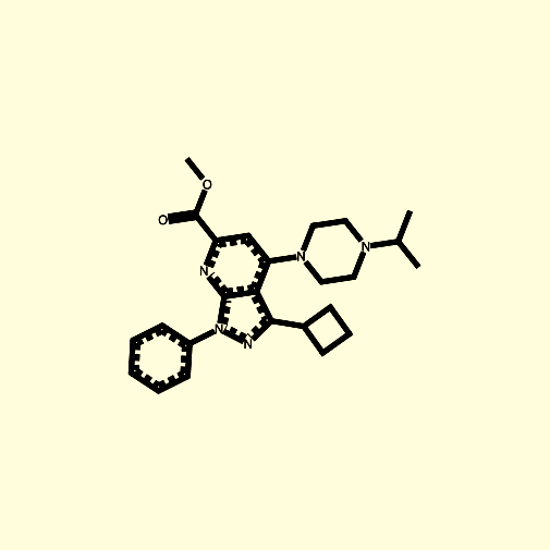 COC(=O)c1cc(N2CCN(C(C)C)CC2)c2c(C3CCC3)nn(-c3ccccc3)c2n1